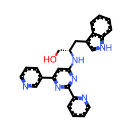 OC[C@H](Cc1c[nH]c2ccccc12)Nc1cc(-c2cccnc2)nc(-c2ccccn2)n1